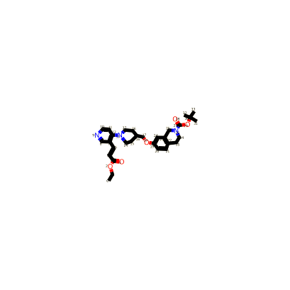 CCOC(=O)C=Cc1cnccc1N1CCC(COc2ccc3c(c2)CN(C(=O)OC(C)(C)C)CC3)CC1